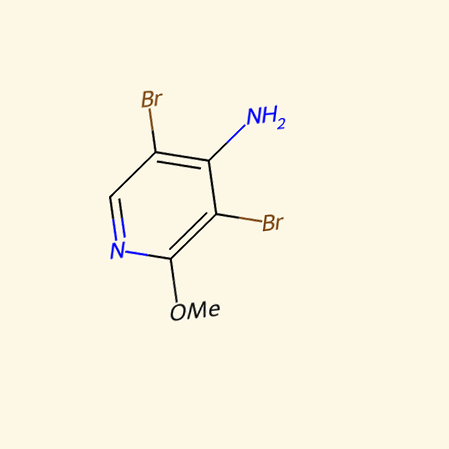 COc1ncc(Br)c(N)c1Br